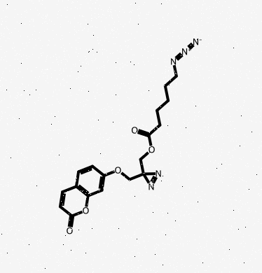 [N-]=[N+]=NCCCCCC(=O)OCC1(COc2ccc3ccc(=O)oc3c2)N=N1